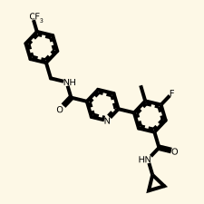 Cc1c(F)cc(C(=O)NC2CC2)cc1-c1ccc(C(=O)NCc2ccc(C(F)(F)F)cc2)cn1